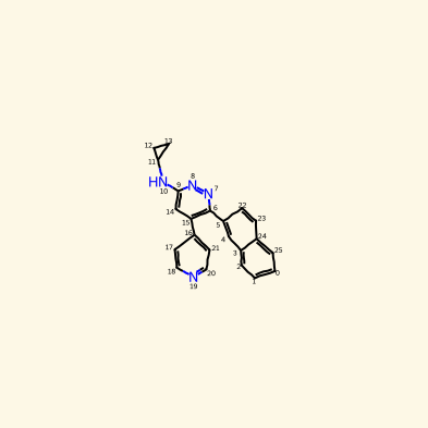 c1ccc2cc(-c3nnc(NC4CC4)cc3-c3ccncc3)ccc2c1